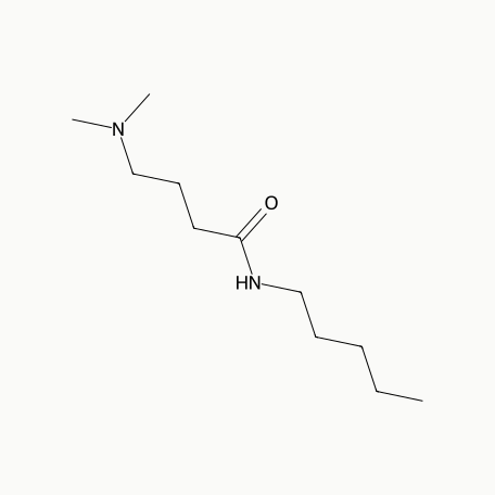 CCCCCNC(=O)CCCN(C)C